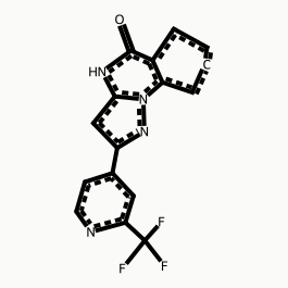 O=c1[nH]c2cc(-c3ccnc(C(F)(F)F)c3)nn2c2ccccc12